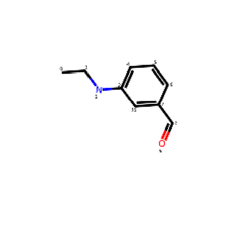 CC[N]c1cccc(C=O)c1